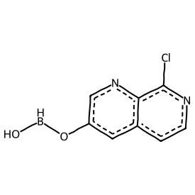 OBOc1cnc2c(Cl)nccc2c1